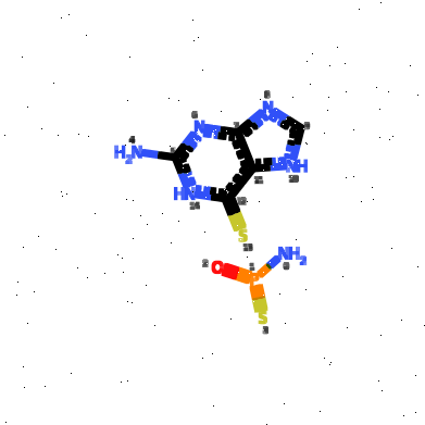 NP(=O)=S.Nc1nc2nc[nH]c2c(=S)[nH]1